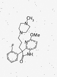 COc1ccc2c(n1)C(CCCN1CCN(C)CC1)(c1ccccc1F)C(=O)N2